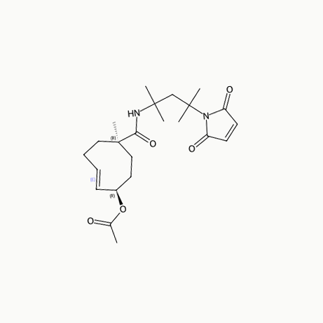 CC(=O)O[C@H]1/C=C/CC[C@@](C)(C(=O)NC(C)(C)CC(C)(C)N2C(=O)C=CC2=O)CC1